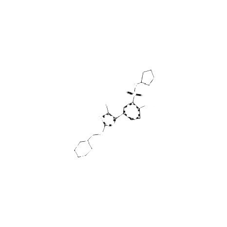 Cc1ccc(-c2sc(NCC3CCCCC3)nc2C)cc1S(=O)(=O)NC1CCCC1